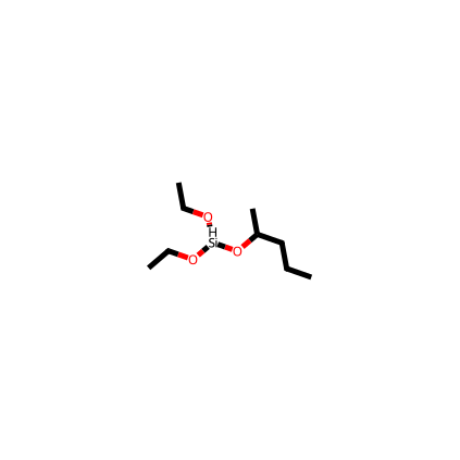 CCCC(C)O[SiH](OCC)OCC